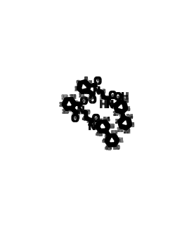 O=C(CCN1C(=O)c2ccccc2C1=O)Nc1cc(-c2ccccc2)ccc1O.O=C1c2ccccc2C(=O)N1CCc1nc2cc(-c3ccccc3)ccc2o1